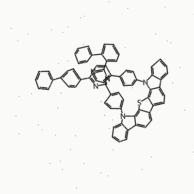 c1ccc(-c2ccc(-c3nc(-c4ccc(-n5c6ccccc6c6ccc7c8ccc9c%10ccccc%10n(-c%10ccc(-c%11ccccc%11)cc%10)c9c8sc7c65)cc4)nc(-c4ccccc4-c4ccccc4)n3)cc2)cc1